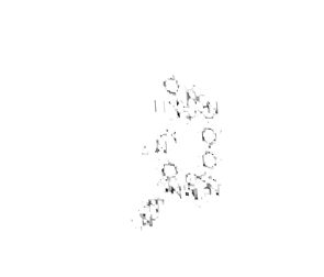 CC(=O)N1CCN(CCC(=O)N[C@@H](C(=O)N2CCC[C@H]2c2ncc(-c3ccc(-c4ccc(-c5cnc([C@@H]6CCCN6C(=O)[C@H](NC(=O)CCN6CCN(C(C)=O)CC6)c6ccccc6)s5)cc4)cc3)s2)c2ccccc2)CC1